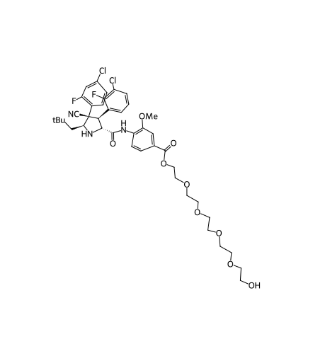 COc1cc(C(=O)OCCOCCOCCOCCOCCO)ccc1NC(=O)[C@@H]1N[C@@H](CC(C)(C)C)[C@](C#N)(c2ccc(Cl)cc2F)[C@H]1c1cccc(Cl)c1F